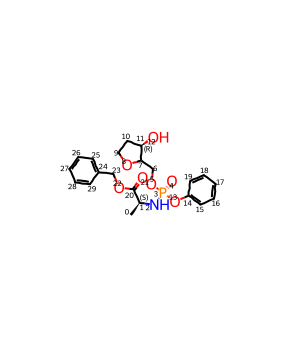 C[C@H](NP(=O)(OCC1OCC[C@H]1O)Oc1ccccc1)C(=O)OCc1ccccc1